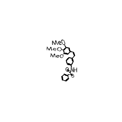 COc1cc(/C=C\c2cccc(NS(=O)(=O)c3ccccc3)c2)cc(OC)c1OC